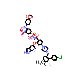 CC1(C)CCC(CN2CCN(c3ccc(C(=O)NS(=O)(=O)c4ccc(NC5CCC6(CC5)OCCO6)c([N+](=O)[O-])c4)c(Oc4cnc5[nH]ccc5c4)c3)CC2)=C(c2ccc(Cl)cc2)C1